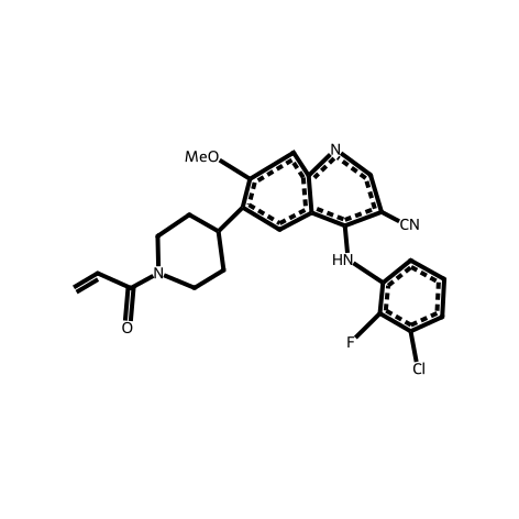 C=CC(=O)N1CCC(c2cc3c(Nc4cccc(Cl)c4F)c(C#N)cnc3cc2OC)CC1